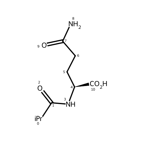 CC(C)C(=O)N[C@@H](CCC(N)=O)C(=O)O